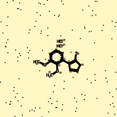 COc1cccc(C2=[C]([Ti])CC=C2)c1OC.Cl.Cl